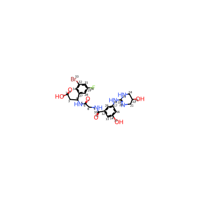 O=C(O)CC(NC(=O)CNC(=O)c1cc(O)cc(NC2=NCC(O)CN2)c1)c1cc(F)cc(Br)c1